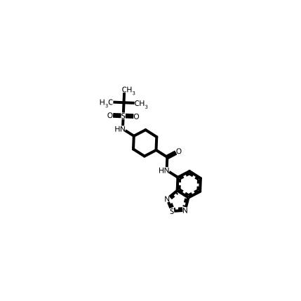 CC(C)(C)S(=O)(=O)NC1CCC(C(=O)Nc2cccc3nsnc23)CC1